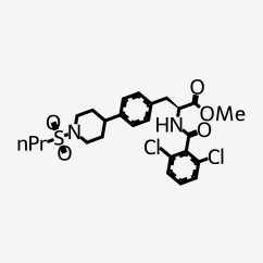 CCCS(=O)(=O)N1CCC(c2ccc(C[C@H](NC(=O)c3c(Cl)cccc3Cl)C(=O)OC)cc2)CC1